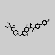 CCN(CC)C(=O)CC1CCN(Cc2cnc3cc(NC(=O)c4ccc(-c5ccc(F)cc5)cc4)c(C)cc3c2)CC1